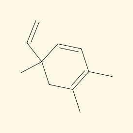 C=CC1(C)C=CC(C)=C(C)C1